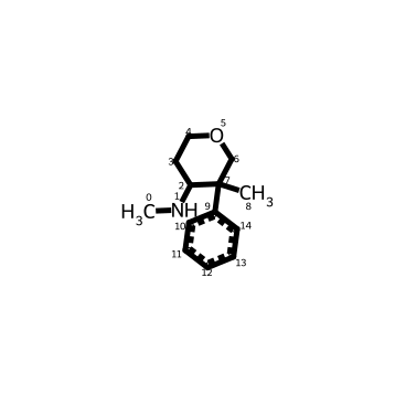 CNC1CCOCC1(C)c1ccccc1